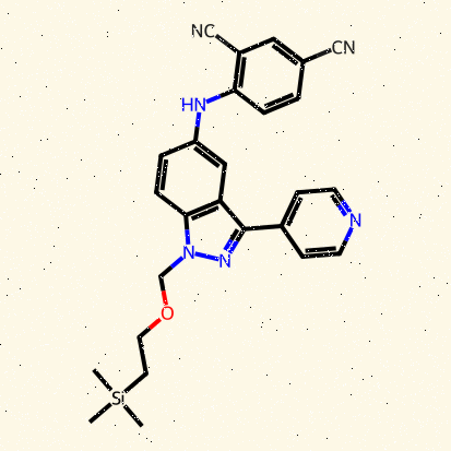 C[Si](C)(C)CCOCn1nc(-c2ccncc2)c2cc(Nc3ccc(C#N)cc3C#N)ccc21